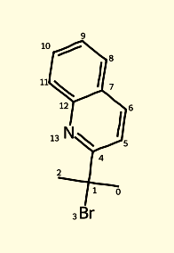 CC(C)(Br)c1ccc2ccccc2n1